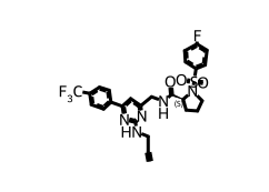 C#CCNc1nc(CNC(=O)[C@@H]2CCCN2S(=O)(=O)c2ccc(F)cc2)cc(-c2ccc(C(F)(F)F)cc2)n1